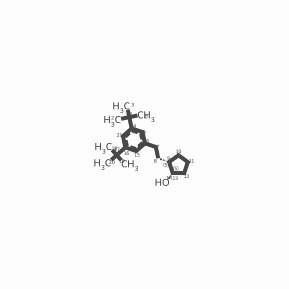 CC(C)(C)c1cc(CC[C@@H]2CCC[C@@H]2O)cc(C(C)(C)C)c1